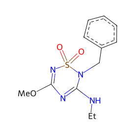 CCNC1=NC(OC)=NS(=O)(=O)N1Cc1ccccc1